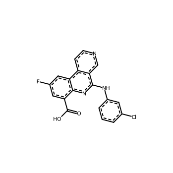 O=C(O)c1cc(F)cc2c1nc(Nc1cccc(Cl)c1)c1cnccc12